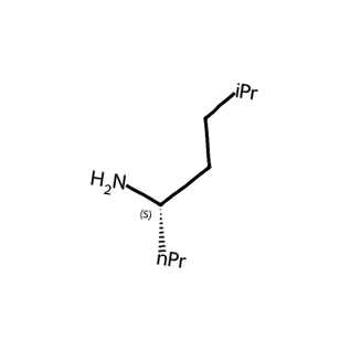 CCC[C@H](N)CCC(C)C